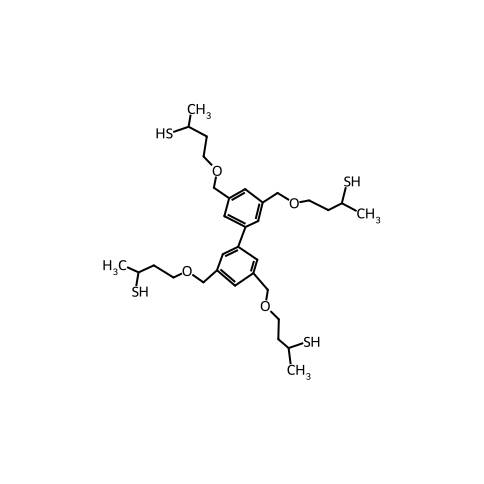 CC(S)CCOCc1cc(COCCC(C)S)cc(-c2cc(COCCC(C)S)cc(COCCC(C)S)c2)c1